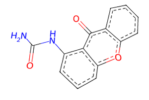 NC(=O)Nc1cccc2oc3ccccc3c(=O)c12